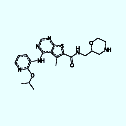 Cc1c(C(=O)NCC2CNCCO2)sc2ncnc(Nc3cccnc3OC(C)C)c12